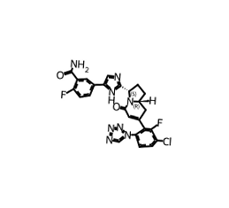 NC(=O)c1cc(-c2cnc([C@@H]3CC[C@@H]4CC(c5c(-n6cnnn6)ccc(Cl)c5F)=CC(=O)N43)[nH]2)ccc1F